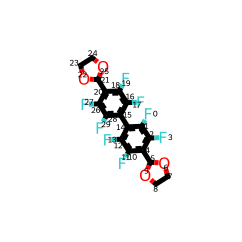 Fc1c(F)c(C2OCCO2)c(F)c(F)c1-c1c(F)c(F)c(C2OCCO2)c(F)c1F